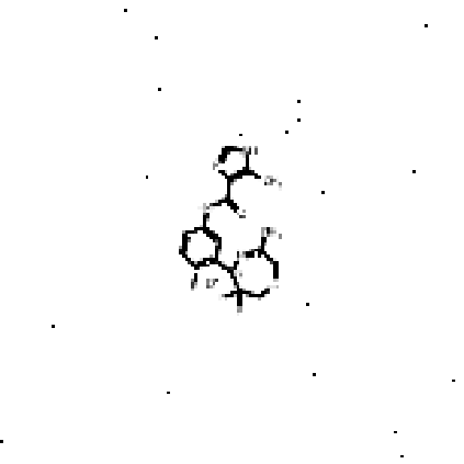 CC[C@]1(c2cc(NC(=O)c3nc[nH]c3C)ccc2F)N=C(N)COCC1(F)F